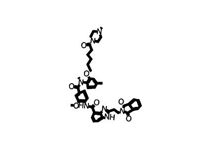 COc1cc(C(=O)N(C)c2ccc(C)cc2OCCCCCC(=O)N2CCN(C)CC2)ccc1NC(=O)c1cccc2[nH]c(CCN3C(=O)c4ccccc4C3=O)nc12